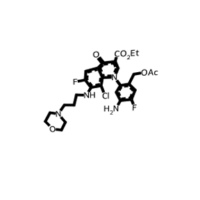 CCOC(=O)c1cn(-c2cc(N)c(F)cc2COC(C)=O)c2c(Cl)c(NCCCN3CCOCC3)c(F)cc2c1=O